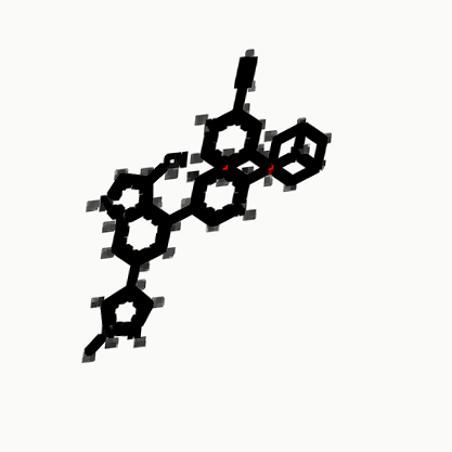 C#Cc1cc(CN2C3CC2CN(c2ccc(-c4cc(-c5cnn(C)c5)cn5ncc(C#N)c45)cn2)C3)ccn1